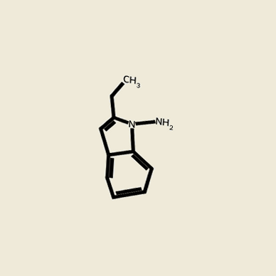 CCc1cc2ccccc2n1N